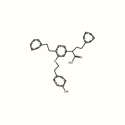 O=C(O)C(CCc1ccccc1)c1ccc(CCc2ccccc2)c(OCCc2ccc(O)cc2)c1